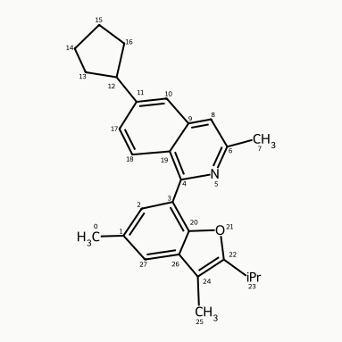 Cc1cc(-c2nc(C)cc3cc(C4CCCC4)ccc23)c2oc(C(C)C)c(C)c2c1